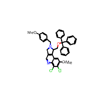 COc1ccc(CN2Cc3cnc4c(Cl)c(Cl)c(OC)cc4c3C2COC(c2ccccc2)(c2ccccc2)c2ccccc2)cc1